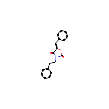 O=C1O/C(=C\c2ccccc2)C(=O)N1CCc1ccccc1